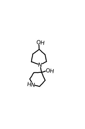 OC1CCN(C2(O)CCNCC2)CC1